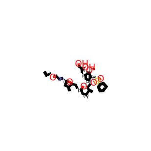 C=CCOC/C=C/[C@H]1CC(=C)C(CC[C@H]2C[C@@H](C)C(=C)C(C[C@@H]3C[C@H](C[C@H](O)CO)[C@H](OC)[C@H]3CS(=O)(=O)c3ccccc3)O2)O1